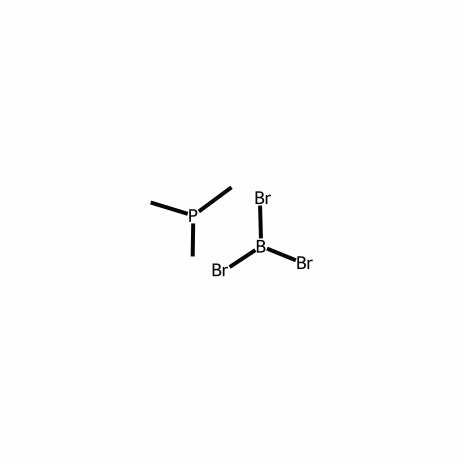 BrB(Br)Br.CP(C)C